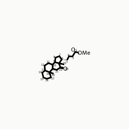 COC(=O)CCC[C@H]1CCC2C3CCC4CCCCC4(C)C3CC(=O)C21C